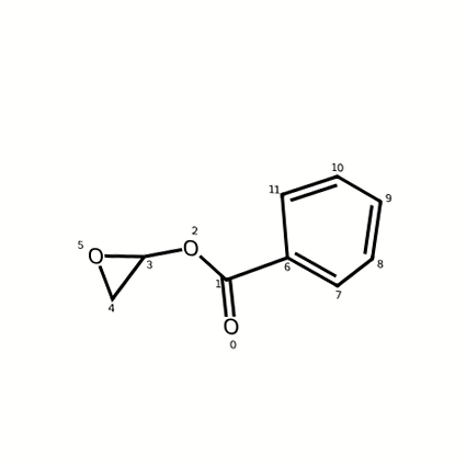 O=C(OC1CO1)c1ccccc1